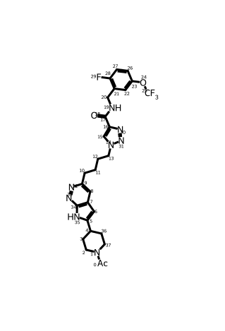 CC(=O)N1CCC(c2cc3cc(CCCCn4cc(C(=O)NCc5cc(OC(F)(F)F)ccc5F)nn4)nnc3[nH]2)CC1